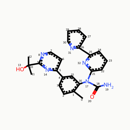 Cc1ccc(-c2ccnc(C(C)(C)O)n2)cc1N(C(N)=O)c1cccc(-c2ccccn2)n1